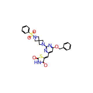 O=C1NC(=O)C(=Cc2cc(OCc3ccccc3)nc(N3CC4(C3)CN(S(=O)(=O)c3ccccc3)C4)n2)S1